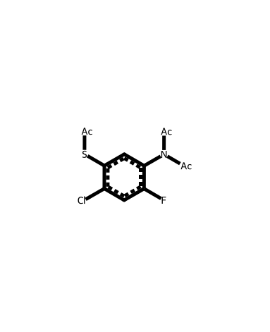 CC(=O)Sc1cc(N(C(C)=O)C(C)=O)c(F)cc1Cl